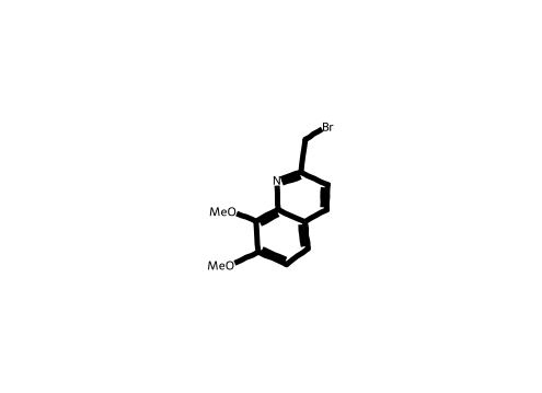 COc1ccc2ccc(CBr)nc2c1OC